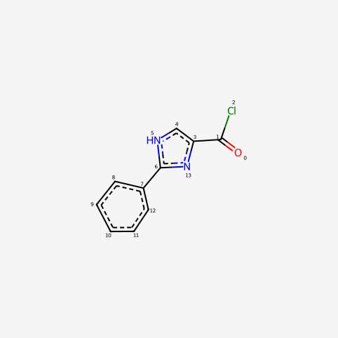 O=C(Cl)c1c[nH]c(-c2ccccc2)n1